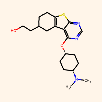 CN(C)[C@H]1CC[C@H](Oc2ncnc3sc4c(c23)CC(CCO)CC4)CC1